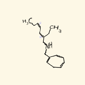 CC/C=C\C=C(/CC)CNCC1=CCC=CC=C1